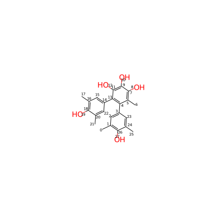 Cc1cc(-c2c(C)c(O)c(O)c(O)c2-c2cc(C)c(O)c(C)c2)cc(C)c1O